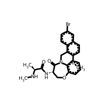 CN[C@@H](C)C(=O)N[C@H]1COc2ccccc2N(Cc2c(OC)ccc3cc(Br)ccc23)C1=O